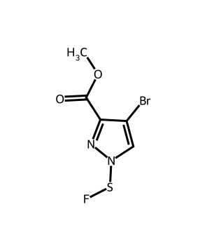 COC(=O)c1nn(SF)cc1Br